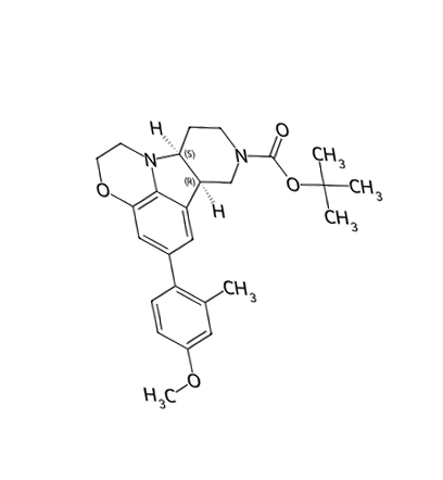 COc1ccc(-c2cc3c4c(c2)[C@@H]2CN(C(=O)OC(C)(C)C)CC[C@@H]2N4CCO3)c(C)c1